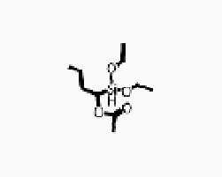 CCCC(OC(C)=O)[SiH](OCC)OCC